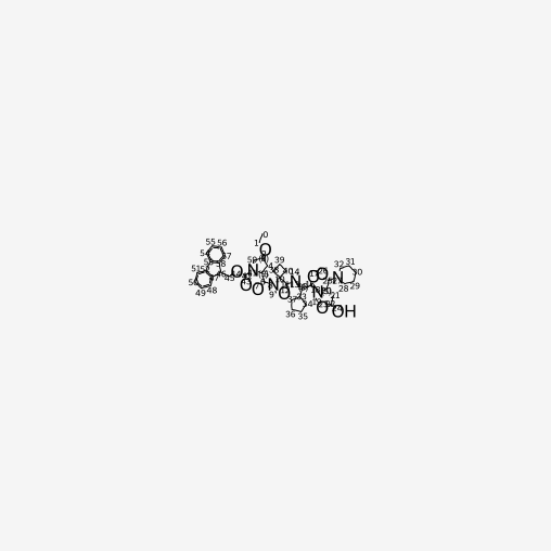 CCO[C@@H]1C[C@@H](C(=O)N(C)C2(C(=O)N(C)[C@H](C(=O)N(C)[C@@H](CC(=O)O)C(=O)N3CCCCC3)C3CCCC3)CCC2)N(C(=O)OCC2c3ccccc3-c3ccccc32)C1